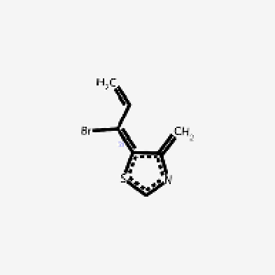 C=C/C(Br)=c1/scnc1=C